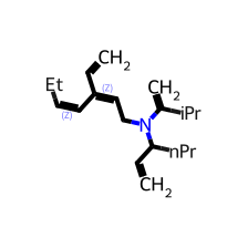 C=CC(/C=C\CC)=C/CN(C(=C)C(C)C)C(C=C)CCC